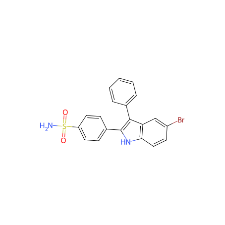 NS(=O)(=O)c1ccc(-c2[nH]c3ccc(Br)cc3c2-c2ccccc2)cc1